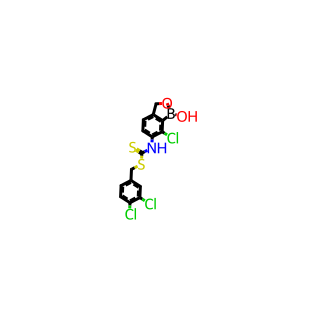 OB1OCc2ccc(NC(=S)SCc3ccc(Cl)c(Cl)c3)c(Cl)c21